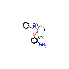 CC(COc1cccc(N)c1C#N)N(Cc1ccccc1)C(=O)O